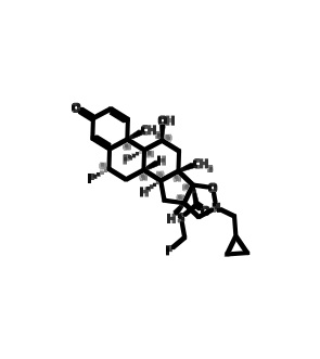 C[C@]12C=CC(=O)C=C1[C@@H](F)C[C@H]1[C@@H]3C[C@H]4CN(CC5CC5)O[C@@]4(C(=O)SCF)[C@@]3(C)C[C@H](O)[C@@]12F